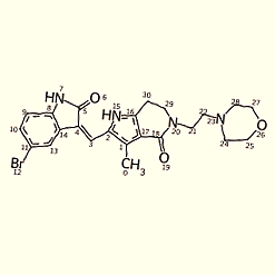 Cc1c(C=C2C(=O)Nc3ccc(Br)cc32)[nH]c2c1C(=O)N(CCN1CCOCC1)CC2